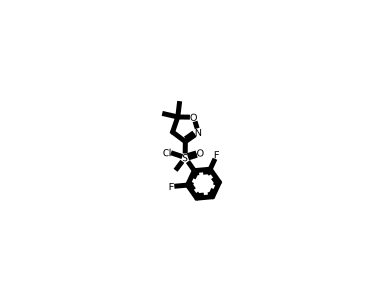 CC1(C)CC(S(C)(=O)(Cl)c2c(F)cccc2F)=NO1